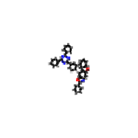 c1ccc(-c2nc(-c3ccccc3)nc(-c3cccc(-c4cccc5oc6cc7nc(-c8ccccc8)oc7cc6c45)c3)n2)cc1